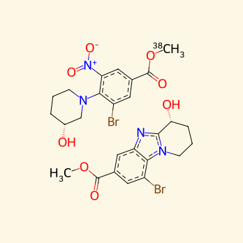 COC(=O)c1cc(Br)c2c(c1)nc1n2CCC[C@H]1O.[38CH3]OC(=O)c1cc(Br)c(N2CCC[C@@H](O)C2)c([N+](=O)[O-])c1